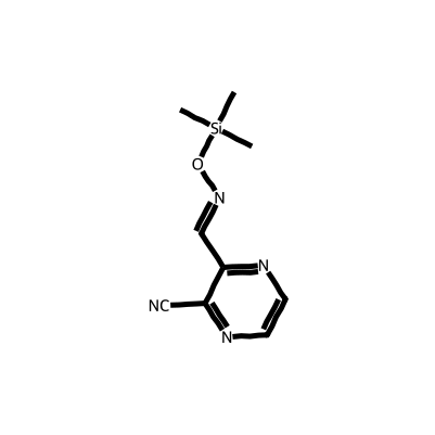 C[Si](C)(C)ON=Cc1nccnc1C#N